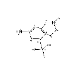 CN1CCc2c(cc(N)cc2C(F)(F)F)C1